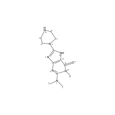 CN(C)c1nc2nc(N3CCNCC3)[nH]c2c(=O)n1C